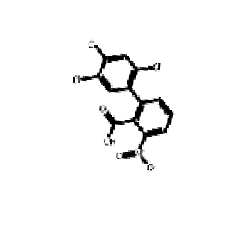 O=C(O)c1c(-c2cc(Cl)c(Cl)cc2Cl)cccc1[N+](=O)[O-]